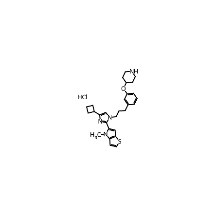 Cl.Cn1c(-c2nc(C3CCC3)cn2CCCc2cccc(OC3CCNCC3)c2)cc2sccc21